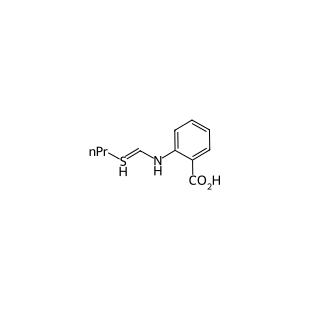 CCC[SH]=CNc1ccccc1C(=O)O